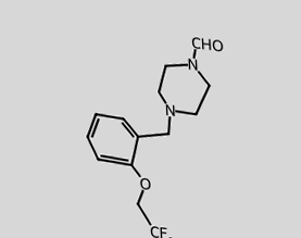 O=CN1CCN(Cc2ccccc2OCC(F)(F)F)CC1